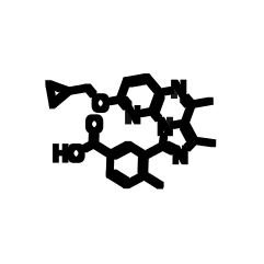 Cc1ccc(C(=O)O)cc1-c1nc(C)c2c(C)nc3ccc(OCC4CC4)nc3n12